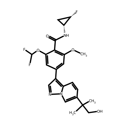 COc1cc(-c2cnn3cc(C(C)(C)CO)ccc23)cc(OC(F)F)c1C(=O)N[C@@H]1C[C@@H]1F